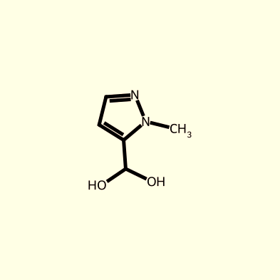 Cn1nccc1C(O)O